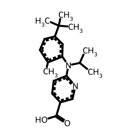 Cc1ccc(C(C)(C)C)cc1N(c1ccc(C(=O)O)cn1)C(C)C